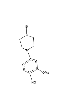 CCN1CCN(c2ccc(N=O)c(OC)c2)CC1